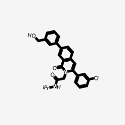 CC(C)NC(=O)Cn1c(-c2cccc(Cl)c2)cc2ccc(-c3cccc(CO)c3)cc2c1=O